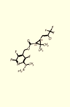 CN(C)c1nc(F)c(F)c(COC(=O)[C@H]2[C@@H](C=C(Cl)C(F)(F)F)C2(C)C)c1F